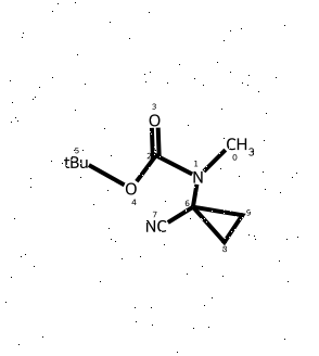 CN(C(=O)OC(C)(C)C)C1(C#N)CC1